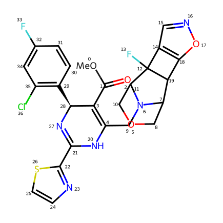 COC(=O)C1=C(CN2C3COCC2C2(F)c4cnoc4C32)NC(c2nccs2)=N[C@H]1c1ccc(F)cc1Cl